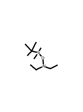 C[CH2][Al]([CH2]C)[O][Si](C)(C)C(C)(C)C